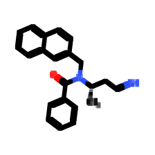 C[C@@H](CC=N)N(Cc1ccc2ccccc2c1)C(=O)c1ccccc1